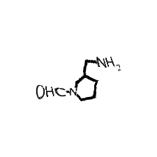 NCC1CCCN(C=O)C1